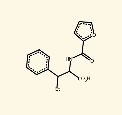 CCC(c1ccccc1)C(NC(=O)c1ccco1)C(=O)O